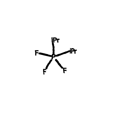 CC(C)P(F)(F)(F)C(C)C